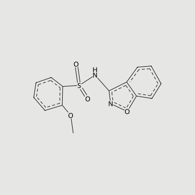 COc1ccccc1S(=O)(=O)Nc1noc2ccccc12